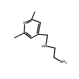 Cc1cc(CNCCN)cc(C)n1